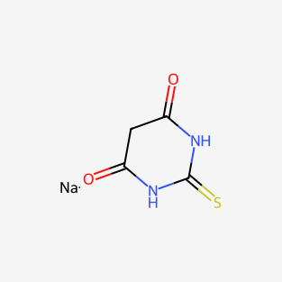 O=C1CC(=O)NC(=S)N1.[Na]